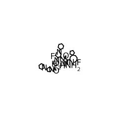 NC(N)C(C(=O)NC1CN(C2CCCCC2)CC(F)C1N1CCC(C(=O)N2CCC(N3CCCCC3)C2)CC1)C1CC2(CCCC2)CCC(F)CN1